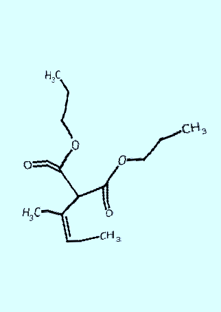 CC=C(C)C(C(=O)OCCC)C(=O)OCCC